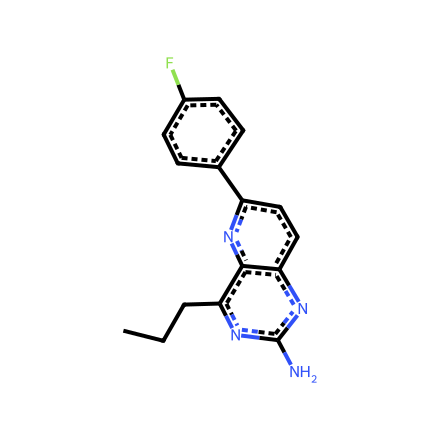 CCCc1nc(N)nc2ccc(-c3ccc(F)cc3)nc12